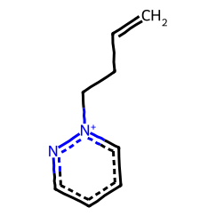 C=CCC[n+]1ccccn1